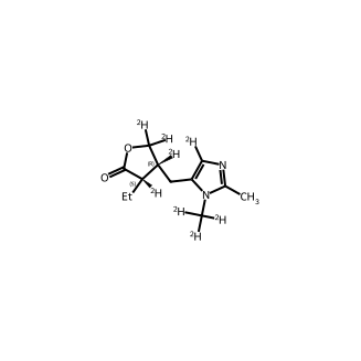 [2H]c1nc(C)n(C([2H])([2H])[2H])c1C[C@@]1([2H])C([2H])([2H])OC(=O)[C@@]1([2H])CC